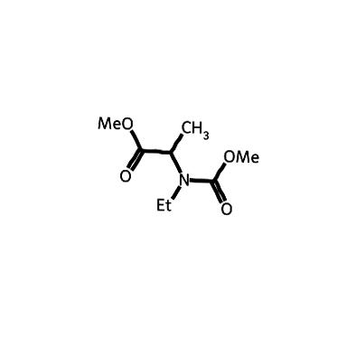 CCN(C(=O)OC)C(C)C(=O)OC